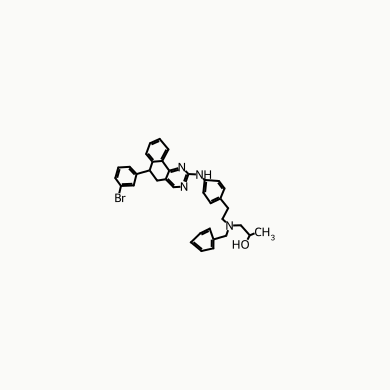 CC(O)CN(CCc1ccc(Nc2ncc3c(n2)-c2ccccc2C(c2cccc(Br)c2)C3)cc1)Cc1ccccc1